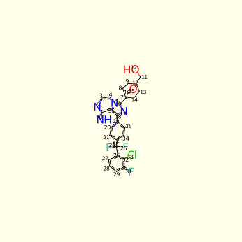 Nc1nccn2c(C34CCC(CO)(CC3)OC4)nc(-c3ccc(C(F)(F)c4cccc(F)c4Cl)cc3)c12